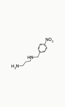 NCCCNCc1ccc([N+](=O)[O-])cc1